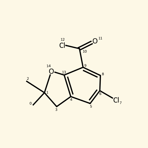 CC1(C)Cc2cc(Cl)cc(C(=O)Cl)c2O1